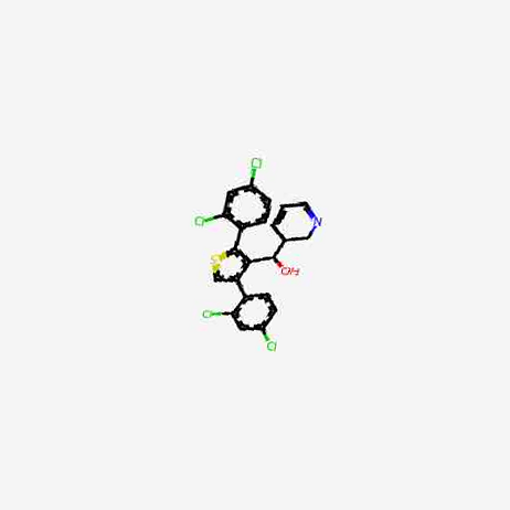 OC(c1c(-c2ccc(Cl)cc2Cl)csc1-c1ccc(Cl)cc1Cl)C1C=CC=NC1